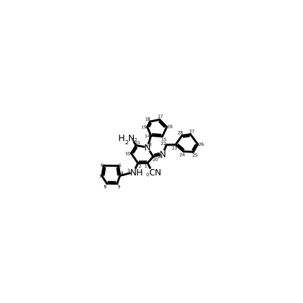 N#Cc1c(Nc2ccccc2)cc(N)n(-c2ccccc2)c1=NCc1ccccc1